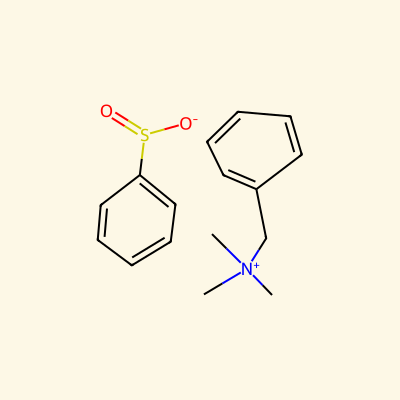 C[N+](C)(C)Cc1ccccc1.O=S([O-])c1ccccc1